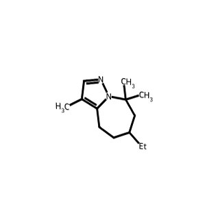 CCC1CCc2c(C)cnn2C(C)(C)C1